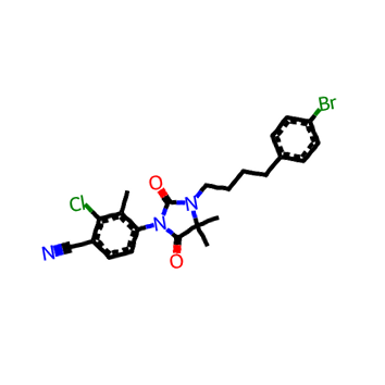 Cc1c(N2C(=O)N(CCCCc3ccc(Br)cc3)C(C)(C)C2=O)ccc(C#N)c1Cl